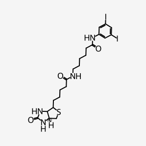 O=C(CCCCC1SC[C@@H]2NC(=O)NC12)NCCCCCC(=O)Nc1cc(I)cc(I)c1